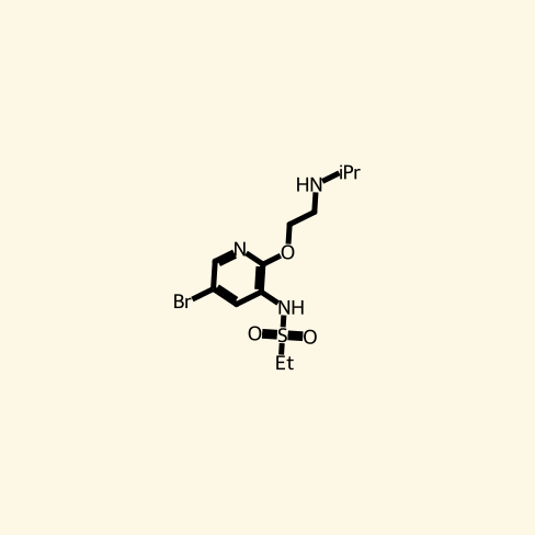 CCS(=O)(=O)Nc1cc(Br)cnc1OCCNC(C)C